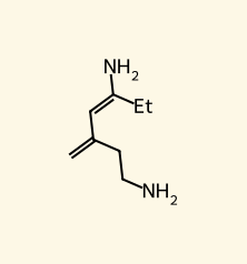 C=C(/C=C(/N)CC)CCN